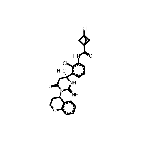 C[C@@]1(c2cccc(NC(=O)C34CC(Cl)(C3)C4)c2Cl)CC(=O)N([C@@H]2CCOc3ccccc32)C(=N)N1